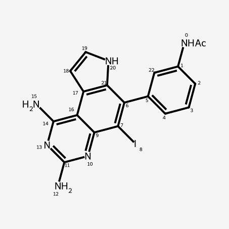 CC(=O)Nc1cccc(-c2c(I)c3nc(N)nc(N)c3c3cc[nH]c23)c1